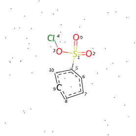 O=S(=O)(OCl)c1ccccc1